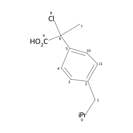 CC(C)Cc1ccc(C(C)(Cl)C(=O)O)cc1